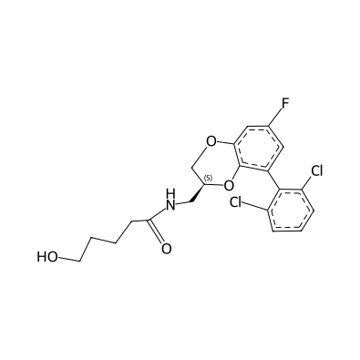 O=C(CCCCO)NC[C@H]1COc2cc(F)cc(-c3c(Cl)cccc3Cl)c2O1